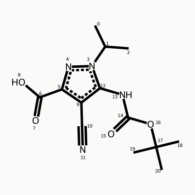 CC(C)n1nc(C(=O)O)c(C#N)c1NC(=O)OC(C)(C)C